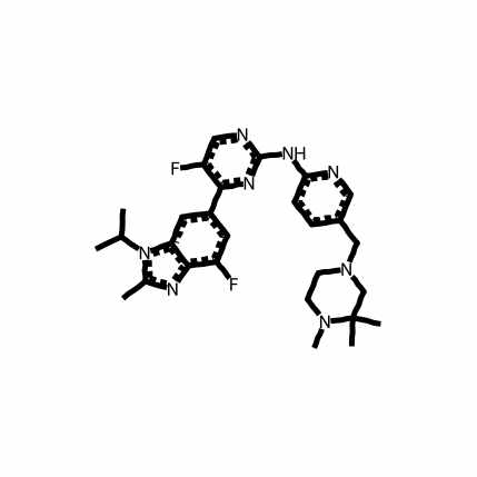 Cc1nc2c(F)cc(-c3nc(Nc4ccc(CN5CCN(C)C(C)(C)C5)cn4)ncc3F)cc2n1C(C)C